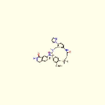 COc1cc2ccc1[C@@H](C)CCC(=O)Nc1ccc(-n3cccn3)c(c1)CN(C)C(=O)[C@@H]2Nc1ccc2cc[nH]c(=O)c2c1